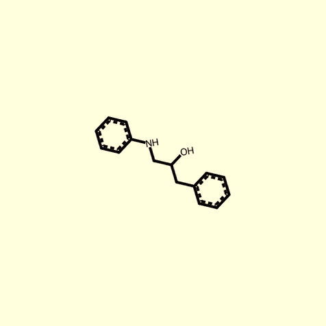 OC(CNc1ccccc1)Cc1ccccc1